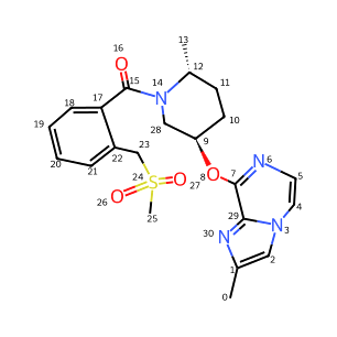 Cc1cn2ccnc(O[C@@H]3CC[C@@H](C)N(C(=O)c4ccccc4CS(C)(=O)=O)C3)c2n1